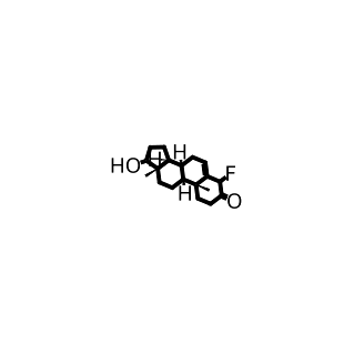 C[C@]12CCC(=O)C(F)C1=CC[C@@H]1[C@H]2CC[C@]2(C)C(O)CC[C@@H]12